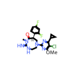 COc1nc(N2CCNC(=N)N(C)C(=O)[C@@H](c3ccc(F)cc3F)C2)nc(C2CC2)c1Cl